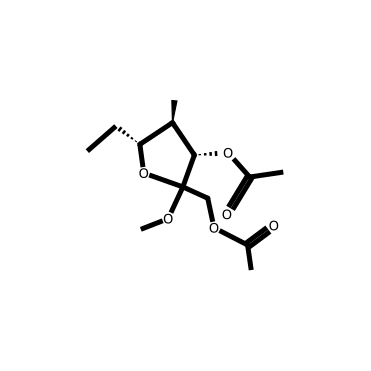 CC[C@H]1OC(COC(C)=O)(OC)[C@@H](OC(C)=O)[C@@H]1C